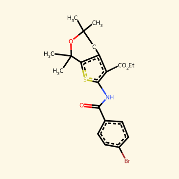 CCOC(=O)c1c(NC(=O)c2ccc(Br)cc2)sc2c1CC(C)(C)OC2(C)C